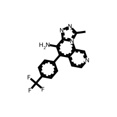 Cc1nnc2c(N)c(-c3ccc(C(F)(F)F)cc3)c3ccncc3n12